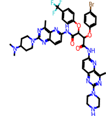 Cc1nc(N2CCNCC2)nc2ccc(NC(=O)C(Oc3ccc(Br)cc3)C(Oc3ccc(C(F)(F)F)cc3)C(=O)Nc3ccc4nc(N5CCC(N(C)C)CC5)nc(C)c4n3)nc12